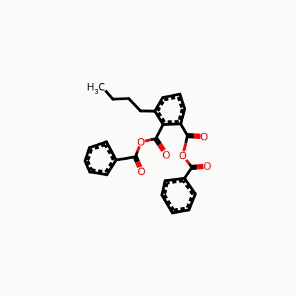 CCCCc1cccc(C(=O)OC(=O)c2ccccc2)c1C(=O)OC(=O)c1ccccc1